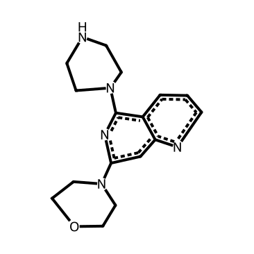 c1cnc2cc(N3CCOCC3)nc(N3CCNCC3)c2c1